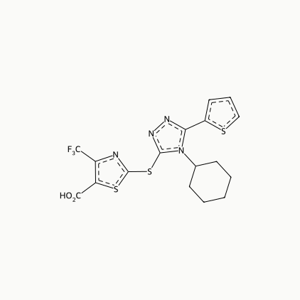 O=C(O)c1sc(Sc2nnc(-c3cccs3)n2C2CCCCC2)nc1C(F)(F)F